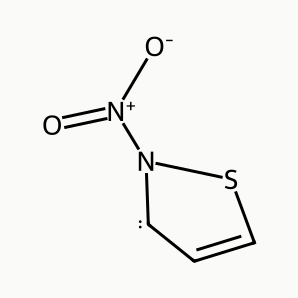 O=[N+]([O-])N1[C]C=CS1